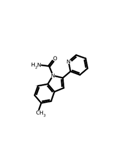 Cc1c[c]c2c(c1)cc(-c1ccccn1)n2C(N)=O